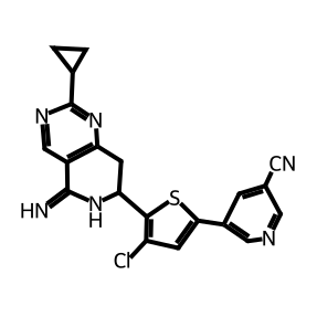 N#Cc1cncc(-c2cc(Cl)c(C3Cc4nc(C5CC5)ncc4C(=N)N3)s2)c1